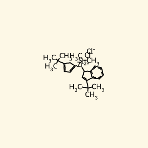 C[Si](C)=[Zr+2]([C]1=CC=C(C(C)(C)C)C1)[CH]1C=C(C(C)(C)C)c2ccccc21.[Cl-].[Cl-]